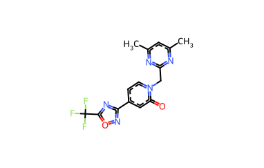 Cc1cc(C)nc(Cn2ccc(-c3noc(C(F)(F)F)n3)cc2=O)n1